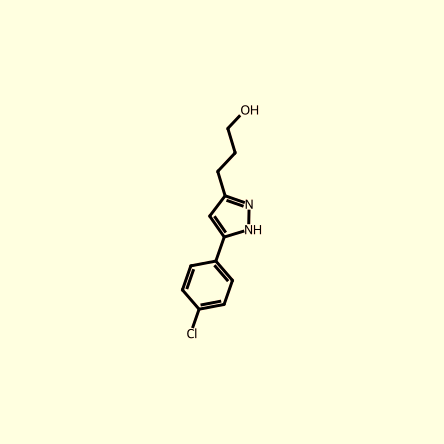 OCCCc1cc(-c2ccc(Cl)cc2)[nH]n1